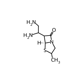 CC1CN2C(=O)C(C(N)CN)[C@@H]2S1